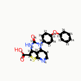 O=C(O)c1sc2nccc3c2c1NC(=O)N3c1ccc(Oc2ccccc2)cc1